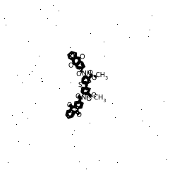 COC(=O)c1cc2c(cc1NC(=O)c1ccc3c(c1)C(=O)c1ccccc1C3=O)sc1cc(NC(=O)c3ccc4c(c3)C(=O)c3ccccc3C4=O)c(C(=O)OC)cc12